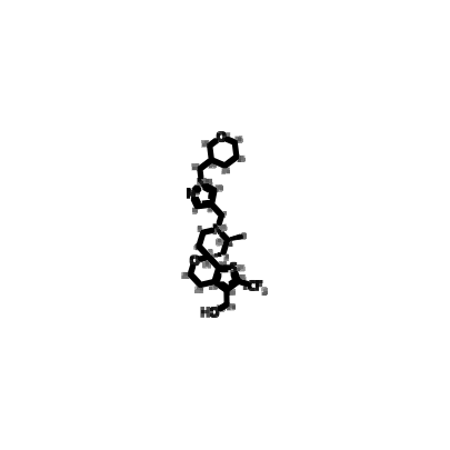 C[C@H]1C[C@@]2(CCN1Cc1cnn(CC3CCCOC3)c1)OCCc1c2sc(C(F)(F)F)c1CO